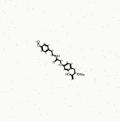 C=C(O)[C@H](Cc1ccc(OCC(=O)NCCc2ccc(OCC)cc2)cc1)OC